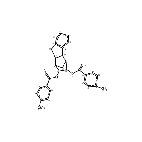 COc1ccc(C(=O)OC2C3CC(C2OC(=O)c2ccc(C)cc2)C2c4ccccc4CC32)cc1